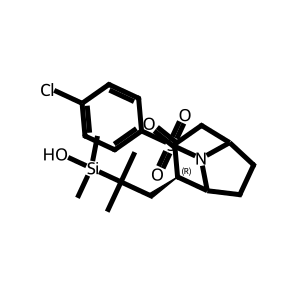 CC(C)(C[C@H]1C(=O)CC2CCC1N2S(=O)(=O)c1ccc(Cl)cc1)[Si](C)(C)O